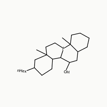 CCCCCCC1CCC2C3C(O)CC4CCCCC4(C)P3CCC2(C)C1